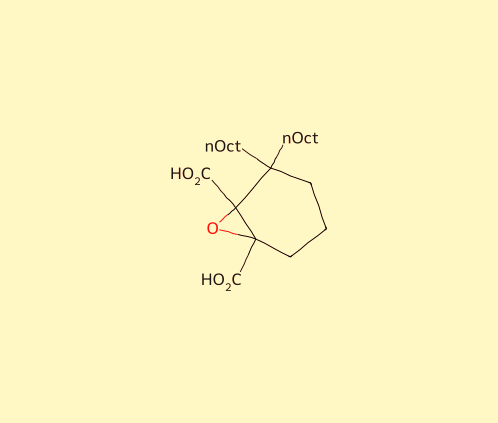 CCCCCCCCC1(CCCCCCCC)CCCC2(C(=O)O)OC12C(=O)O